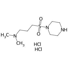 CN(C)CCCS(=O)(=O)N1CCNCC1.Cl.Cl